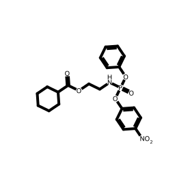 O=C(OCCNP(=O)(Oc1ccccc1)Oc1ccc([N+](=O)[O-])cc1)C1CCCCC1